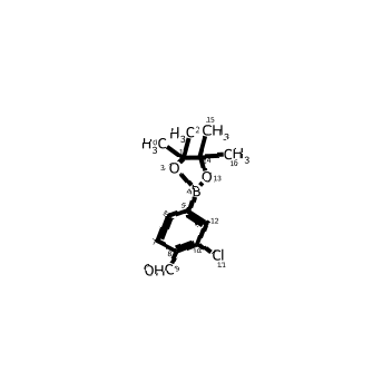 CC1(C)OB(c2ccc(C=O)c(Cl)c2)OC1(C)C